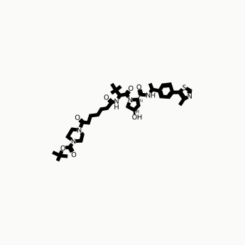 Cc1ncsc1-c1ccc(C(C)NC(=O)[C@@H]2C[C@@H](O)CN2C(=O)C(NC(=O)CCCCCC(=O)N2CCN(C(=O)OC(C)(C)C)CC2)C(C)(C)C)cc1